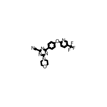 N#Cc1nc(-c2ccc(Oc3ccc(C(F)(F)F)cn3)cc2)nc(N2CCOCC2)n1